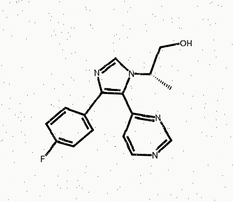 C[C@@H](CO)n1cnc(-c2ccc(F)cc2)c1-c1ccncn1